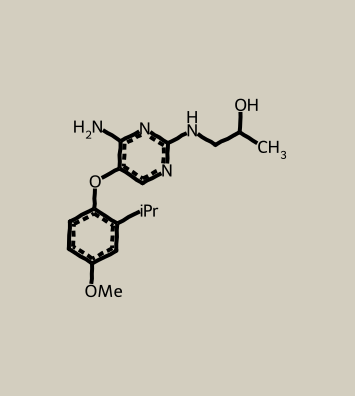 COc1ccc(Oc2cnc(NCC(C)O)nc2N)c(C(C)C)c1